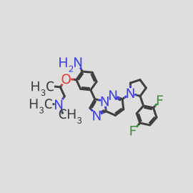 CC(CN(C)C)Oc1cc(-c2cnc3ccc(N4CCCC4c4cc(F)ccc4F)nn23)ccc1N